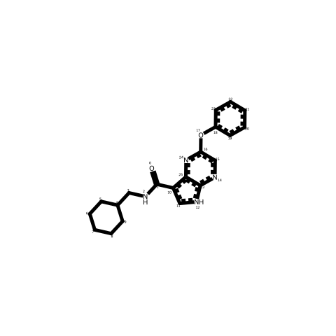 O=C(NCC1CCCCC1)c1c[nH]c2ncc(Oc3ccccc3)nc12